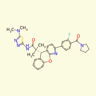 CN(C)c1nnc(NC(=O)C(C)(C)[C@H]2c3ccccc3Oc3nc(-c4ccc(C(=O)N5CCCC5)c(F)c4)ccc32)s1